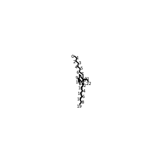 CCCCCCCCN1C=CN(CCCCCCCC)C1CC